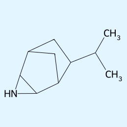 CC(C)C1CC2CC1C1NC21